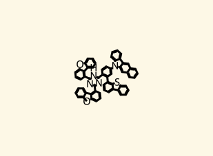 c1ccc2cc3c(cc2c1)c1ccccc1n3-c1ccc(C2N=C(c3cccc4oc5ccccc5c34)N=C(c3cccc4oc5ccccc5c34)N2)c(-c2cccc3c2sc2ccccc23)c1